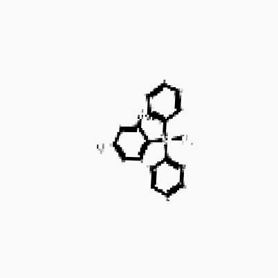 COc1ccccc1[P+](C)(c1ccccc1)c1ccccc1.[Cl-]